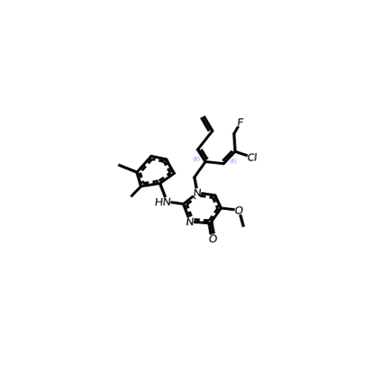 C=C/C=C(\C=C(\Cl)CF)Cn1cc(OC)c(=O)nc1Nc1cccc(C)c1C